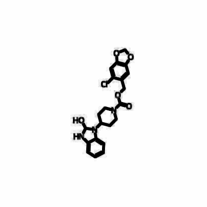 O=C(OCc1cc2c(cc1Cl)OCO2)N1CCC(N2c3ccccc3NC2O)CC1